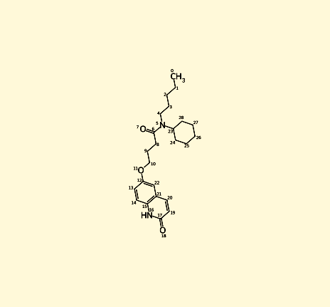 CCCCCN(C(=O)CCCOc1ccc2[nH]c(=O)ccc2c1)C1CCCCC1